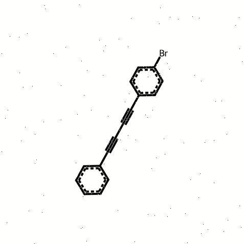 Brc1ccc(C#CC#Cc2ccccc2)cc1